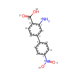 Nc1cc(-c2ccc([N+](=O)[O-])cc2)ccc1C(=O)O